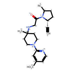 C#C[C@H]1CCC(C#N)N1C(=O)CNC1(C)CCN(c2cc(C(=O)O)ccn2)CC1